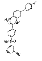 N#Cc1cncc(S(=N)(=O)c2ccc(C(=O)Nc3cc(-c4ccc(F)cc4)ccc3N)cc2)c1